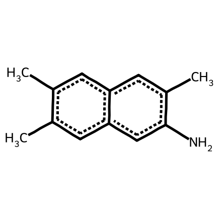 Cc1cc2cc(C)c(N)cc2cc1C